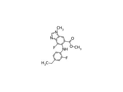 CCc1ccc(Nc2c(C(=O)OC)cc3c(ncn3C)c2F)c(F)c1